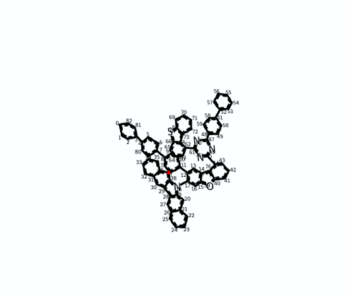 c1ccc(-c2ccc(-c3ccc(-c4cc5c(cc4-n4c6cc7ccccc7cc6c6cc7ccccc7cc64)oc4cccc(-c6nc(-c7ccc(-c8ccccc8)cc7)nc(-c7cccc8sc9ccccc9c78)n6)c45)cc3)cc2)cc1